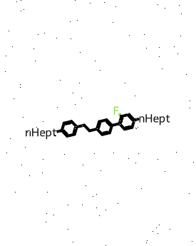 CCCCCCCc1ccc(CCc2ccc(-c3ccc(CCCCCCC)cc3F)cc2)cc1